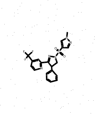 Cn1cc(S(=O)(=O)N2CC(c3ccccc3)C(c3cc(C(F)(F)F)ccn3)=N2)cn1